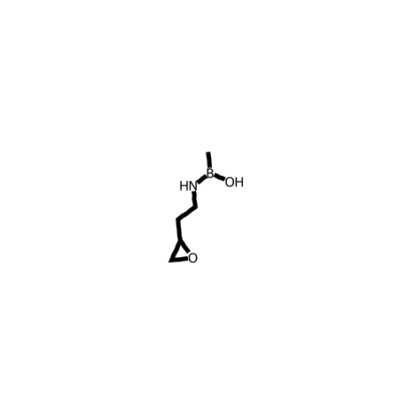 CB(O)NCCC1CO1